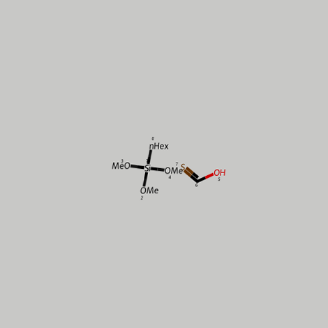 CCCCCC[Si](OC)(OC)OC.OC=S